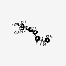 Cc1cccc(NC(=O)Nc2ccc(Oc3ccnc(-c4cc(C(=O)NC(CCO)(CCC(=O)O)C(=O)OCCO)c[nH]4)c3)cc2F)c1